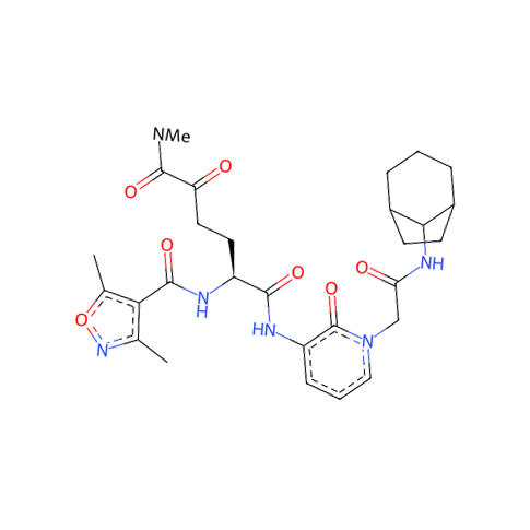 CNC(=O)C(=O)CC[C@H](NC(=O)c1c(C)noc1C)C(=O)Nc1cccn(CC(=O)NC2C3CCCC2CC3)c1=O